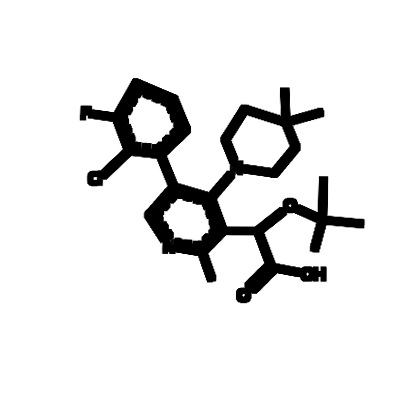 Cc1ncc(-c2cccc(F)c2Cl)c(N2CCC(C)(C)CC2)c1C(OC(C)(C)C)C(=O)O